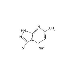 CC1=CCN2C([S-])=NNC2=N1.[Na+]